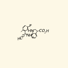 Cc1ccc(F)cc1C(N)=O.Cl.O=C(O)C1CNc2ccccc21